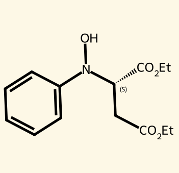 CCOC(=O)C[C@@H](C(=O)OCC)N(O)c1ccccc1